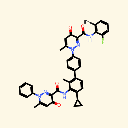 Cc1c(-c2ccc(-n3nc(C(=O)Nc4c(F)cccc4C(C)C)c(=O)cc3C)cc2)ccc(C2CC2)c1NC(=O)c1nn(-c2ccccc2)c(C)cc1=O